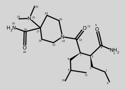 CCC[C@H](C(N)=O)[C@@H](CC(C)C)C(=O)N1CCC(C(N)=O)(N(C)C)CC1